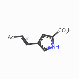 CC(=O)/C=C/c1c[nH]c(C(=O)O)c1